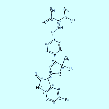 C[C@@H](O)[C@H](NCc1ccc(C2=C/C(=C3\C(=O)Nc4ccc(F)cc43)OC2(C)C)cc1)C(=O)O